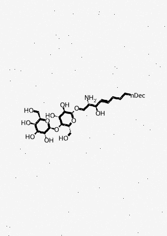 CCCCCCCCCCCCC/C=C/[C@@H](O)[C@@H](N)CO[C@@H]1O[C@H](CO)[C@@H](O[C@@H]2O[C@H](CO)[C@H](O)[C@H](O)[C@H]2O)[C@H](O)[C@H]1O